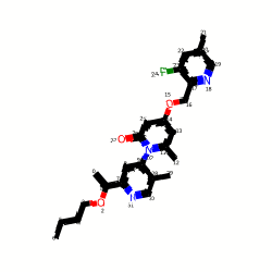 C=C(OCCCC)c1cc(-n2c(C)cc(OCc3ncc(C)cc3F)cc2=O)c(C)cn1